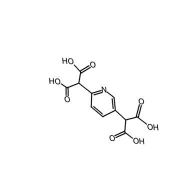 O=C(O)C(C(=O)O)c1ccc(C(C(=O)O)C(=O)O)nc1